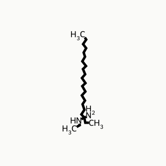 CCCCCCCCCCCCCCCCCCCC(N)(CC)NCC